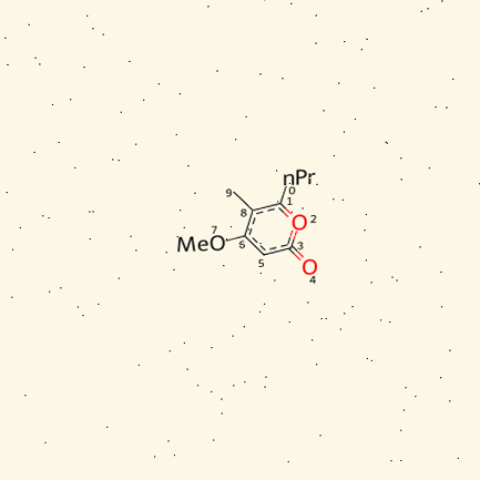 CCCc1oc(=O)cc(OC)c1C